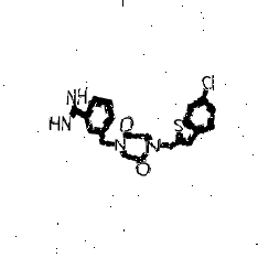 N=C(N)c1cccc(CN2CC(=O)N(Cc3cc4ccc(Cl)cc4s3)CC2=O)c1